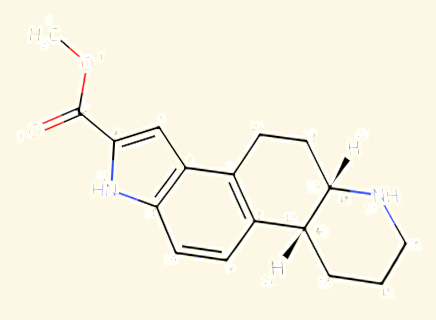 COC(=O)c1cc2c3c(ccc2[nH]1)[C@H]1CCCN[C@H]1CC3